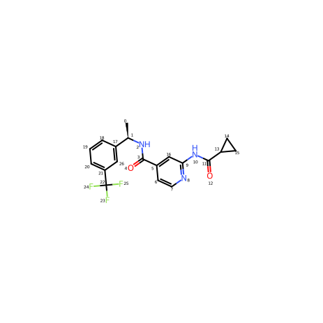 C[C@@H](NC(=O)c1ccnc(NC(=O)C2CC2)c1)c1cccc(C(F)(F)F)c1